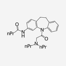 CCCC(=O)Nc1ccc2c(c1)N(C(=O)CN(CCC)CCC)c1ccccc1CC2